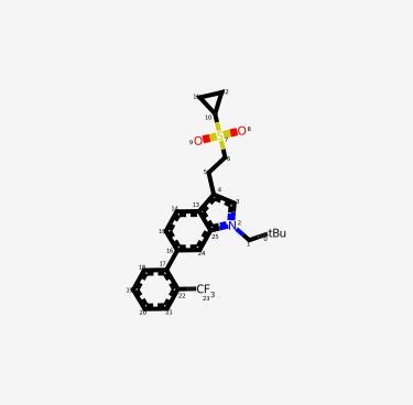 CC(C)(C)Cn1cc(CCS(=O)(=O)C2CC2)c2ccc(-c3ccccc3C(F)(F)F)cc21